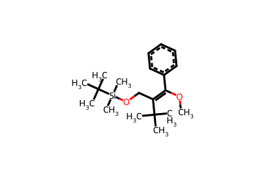 COC(=C(CO[Si](C)(C)C(C)(C)C)C(C)(C)C)c1ccccc1